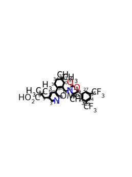 COc1ncc(CC(C)(C)C(=O)O)cc1C1=C(CN2C(=O)O[C@H](c3cc(C(F)(F)F)cc(C(F)(F)F)c3)[C@@H]2C)CC(C)(C)CC1